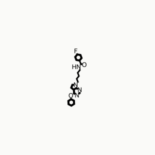 O=C(NCCCCCn1ccc2c(Oc3ccccc3)ncnc21)c1ccc(F)cc1